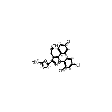 C#CCc1c(-c2nnc(C(C)(C)C)o2)nn(-c2ccc(Cl)cc2Cl)c1-c1ccc(Cl)cc1